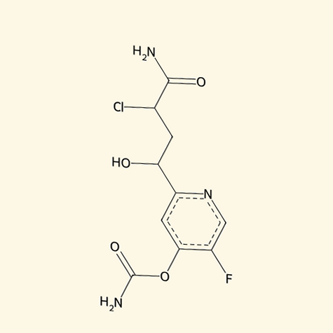 NC(=O)Oc1cc(C(O)CC(Cl)C(N)=O)ncc1F